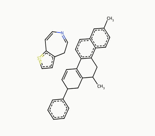 C1=Cc2sccc2CC=N1.Cc1ccc2c3c(ccc2c1)C1=C(CC(c2ccccc2)C=C1)C(C)C3